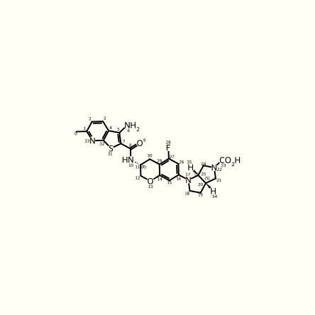 Cc1ccc2c(N)c(C(=O)N[C@H]3COc4cc(N5CC[C@H]6CN(C(=O)O)C[C@H]65)cc(F)c4C3)sc2n1